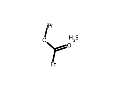 CCC(=O)OC(C)C.S